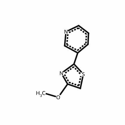 COc1csc(-c2cccnc2)n1